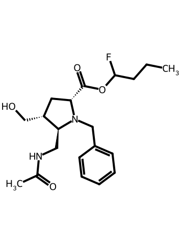 CCCC(F)OC(=O)[C@H]1C[C@@H](CO)[C@H](CNC(C)=O)N1Cc1ccccc1